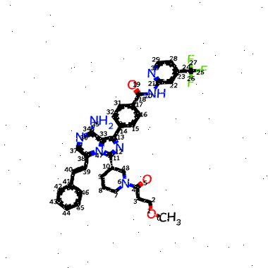 COCCC(=O)N1CCC[C@@H](c2nc(-c3ccc(C(=O)Nc4cc(C(F)(F)F)ccn4)cc3)c3c(N)ncc(/C=C/c4ccccc4)n23)C1